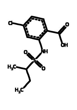 CCC(C)S(=O)(=O)Nc1cc(Cl)ccc1C(=O)O